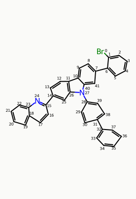 Brc1ccccc1-c1ccc2c3ccc(-c4ccc5ccccc5n4)cc3n(-c3ccc(-c4ccccc4)cc3)c2c1